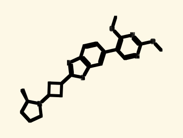 COc1ncc(-c2ccc3nc(C4CC(N5CCC[C@H]5C)C4)sc3c2)c(OC)n1